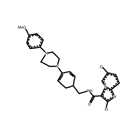 CCc1nc2ccc(Cl)cn2c1C(=O)NCC1C=CC(N2CCN(c3ccc(OC)cc3)CC2)=CC1